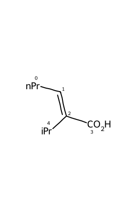 CCC/C=C(/C(=O)O)C(C)C